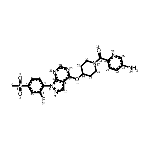 CS(=O)(=O)c1ccc(-n2ncc3c(OC4CCN(C(=O)c5ccc(N)cn5)CC4)ncnc32)c(F)c1